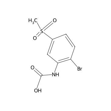 CS(=O)(=O)c1ccc(Br)c(NC(=O)O)c1